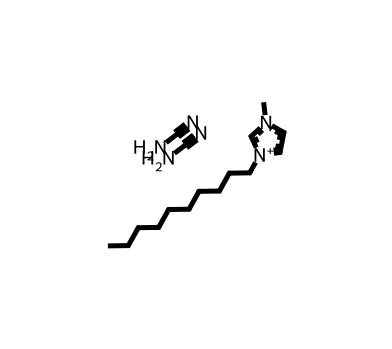 CCCCCCCCCC[n+]1ccn(C)c1.N#CN.N#CN